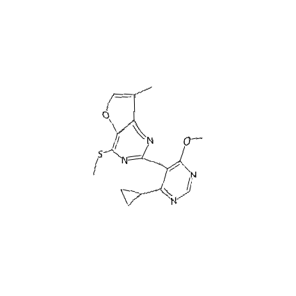 COc1ncnc(C2CC2)c1-c1nc(SC)c2occ(C)c2n1